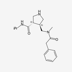 CC(C)NC(=O)[C@@H]1CNC[C@H]1CN(C)C(=O)Cc1ccccc1